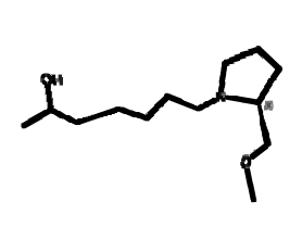 COC[C@@H]1CCCN1CCCCCC(C)O